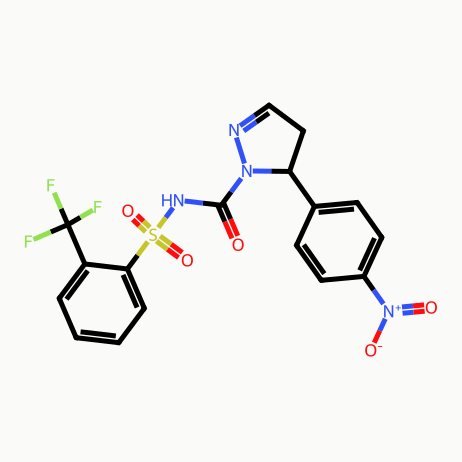 O=C(NS(=O)(=O)c1ccccc1C(F)(F)F)N1N=CCC1c1ccc([N+](=O)[O-])cc1